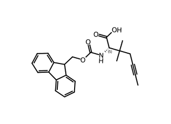 CC#CCC(C)(C)[C@H](NC(=O)OCC1c2ccccc2-c2ccccc21)C(=O)O